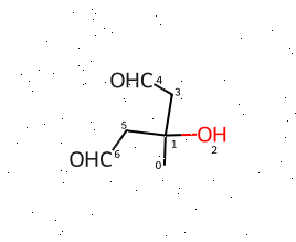 CC(O)(CC=O)CC=O